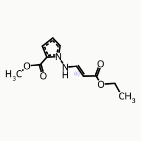 CCOC(=O)/C=C/Nn1cccc1C(=O)OC